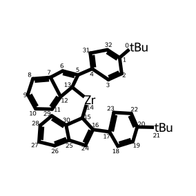 CC(C)(C)c1ccc(C2=Cc3ccccc3[CH]2[Zr][CH]2C(c3ccc(C(C)(C)C)cc3)=Cc3ccccc32)cc1